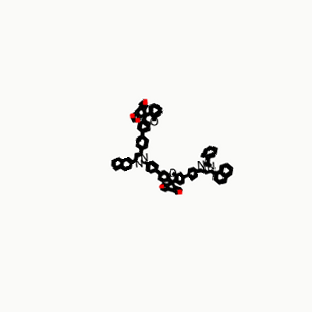 c1ccc(-c2nc(-c3ccc(-c4ccc5c(c4)Oc4cc(-c6ccc(-c7nc(-c8ccc(-c9ccc%10c(c9)Oc9ccccc9C%109c%10ccccc%10-c%10ccccc%109)cc8)cc(-c8ccc9ccccc9c8)n7)cc6)ccc4C54c5ccccc5-c5ccccc54)cc3)cc(-c3cccc4ccccc34)n2)cc1